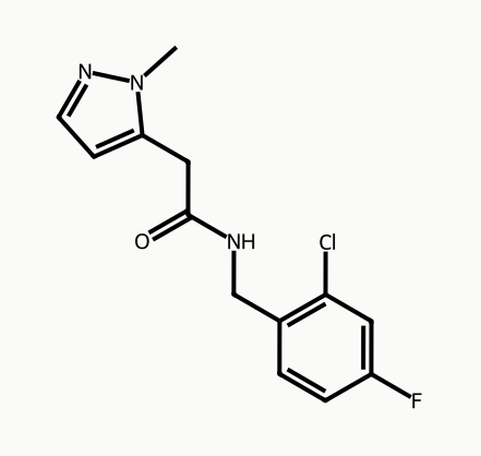 Cn1nccc1CC(=O)NCc1ccc(F)cc1Cl